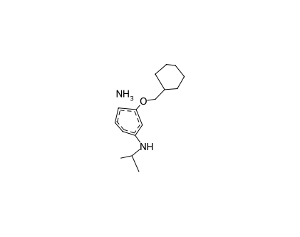 CC(C)Nc1cccc(OCC2CCCCC2)c1.N